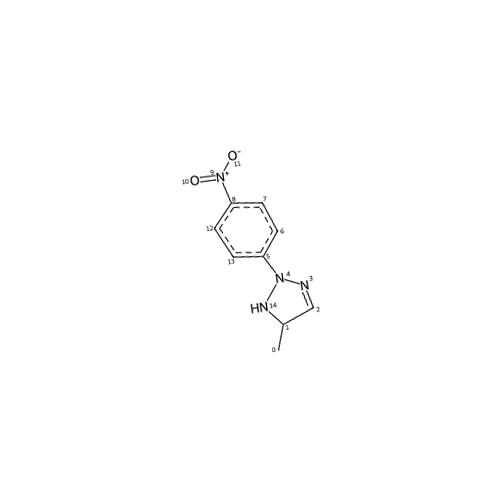 CC1C=NN(c2ccc([N+](=O)[O-])cc2)N1